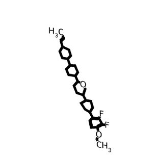 C/C=C/C1CCC(C2CCC(C3CCC(C4CCC(c5ccc(OCC)c(F)c5F)CC4)CO3)CC2)CC1